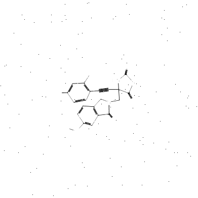 COc1ccc2c(c1)C(=O)N(CC1(C#Cc3ccc(F)cc3F)NC(=O)NC1=O)C2